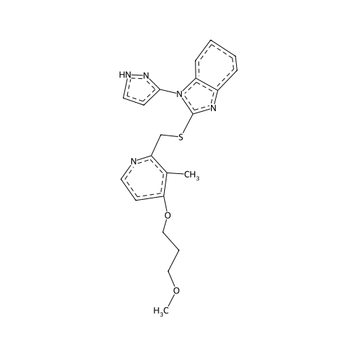 COCCCOc1ccnc(CSc2nc3ccccc3n2-c2cc[nH]n2)c1C